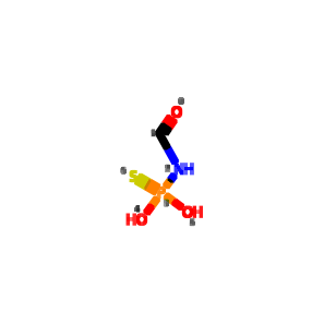 O=CNP(O)(O)=S